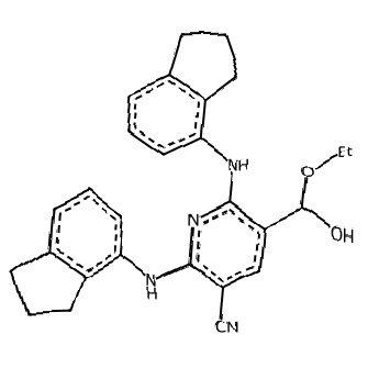 CCOC(O)c1cc(C#N)c(Nc2cccc3c2CCC3)nc1Nc1cccc2c1CCC2